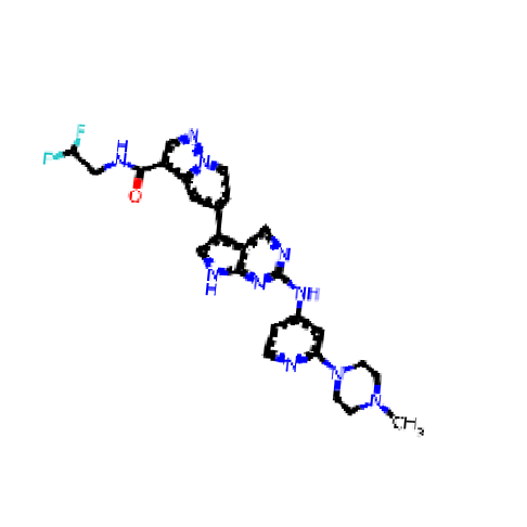 CN1CCN(c2cc(Nc3ncc4c(-c5ccn6ncc(C(=O)NCC(F)F)c6c5)c[nH]c4n3)ccn2)CC1